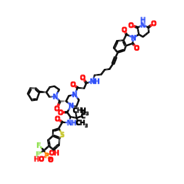 CC(C)(C)C(NC(=O)c1cc2cc(C(F)(F)P(=O)(O)O)ccc2s1)C(=O)N1CCN(C(=O)CC(=O)NCCCCC#Cc2ccc3c(c2)C(=O)N(C2CCC(=O)NC2=O)C3=O)C[C@H]1C(=O)N1CCC[C@H](c2ccccc2)C1